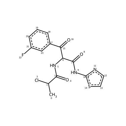 CC(Cl)C(=O)NC(C(=O)Nc1nccs1)C(=O)c1cccc(F)c1